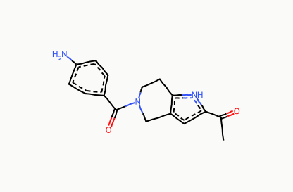 CC(=O)c1cc2c([nH]1)CCN(C(=O)c1ccc(N)cc1)C2